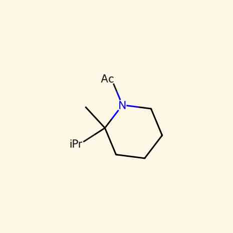 CC(=O)N1CCCCC1(C)C(C)C